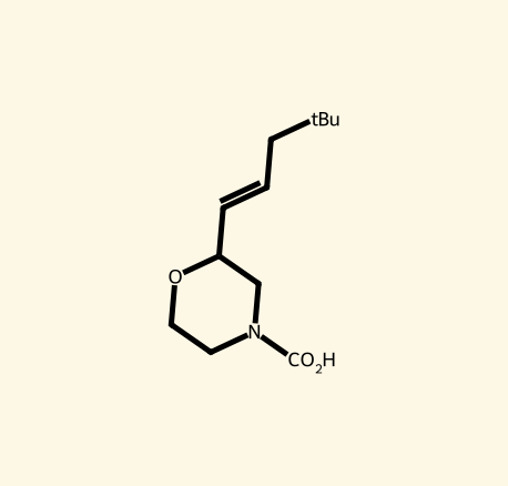 CC(C)(C)CC=CC1CN(C(=O)O)CCO1